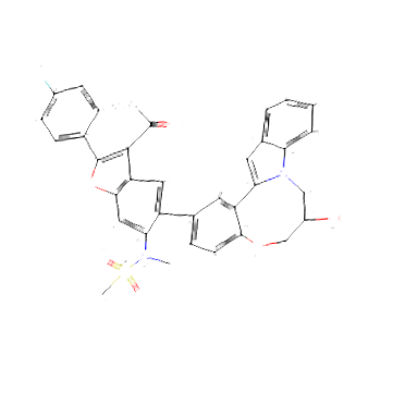 CNC(=O)c1c(-c2ccc(F)cc2)oc2cc(N(C)S(C)(=O)=O)c(-c3ccc4c(c3)-c3cc5ccccc5n3CC(O)CO4)cc12